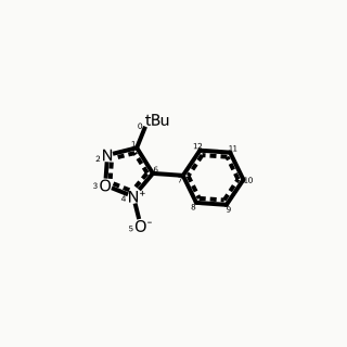 CC(C)(C)c1no[n+]([O-])c1-c1ccccc1